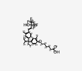 CCC(c1ccc(C=CC(O)(C(F)(F)F)C(F)(F)F)c(C)c1)(c1ccc(OCCCCCC(=O)O)c(C)c1)C(C)I